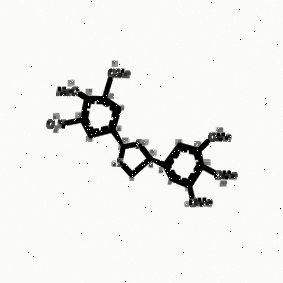 COc1cc([C@H]2CS[C@@H](c3cc(OC)c(OC)c([N+](=O)[O-])c3)S2)cc(OC)c1OC